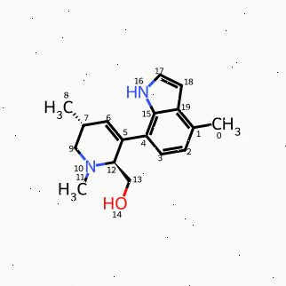 Cc1ccc(C2=C[C@@H](C)CN(C)[C@@H]2CO)c2[nH]ccc12